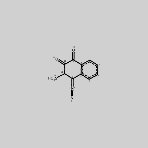 [N-]=[N+]=C1c2ccccc2C(=O)C(=O)C1S(=O)(=O)O